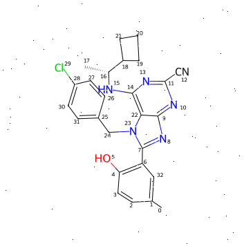 Cc1ccc(O)c(-c2nc3nc(C#N)nc(N[C@H](C)C4CCC4)c3n2Cc2ccc(Cl)cc2)c1